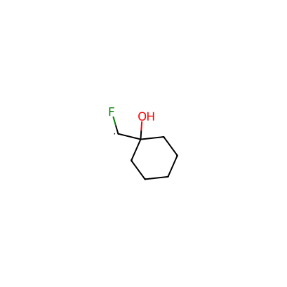 OC1([CH]F)CCCCC1